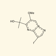 COc1cn2ncc(I)c2nc1C(C)(C)O